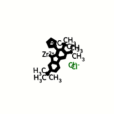 CC(C)c1cc2c(c(C3=CC=CC3)c1C(C)(C)C)[CH]([Zr+2])c1cc(C(C)(C)C)ccc1-2.[Cl-].[Cl-]